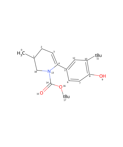 CC1CC=C(c2ccc(O)c(C(C)(C)C)c2)N(C(=O)OC(C)(C)C)C1